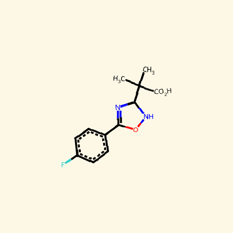 CC(C)(C(=O)O)C1N=C(c2ccc(F)cc2)ON1